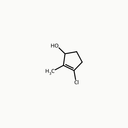 CC1=C(Cl)CCC1O